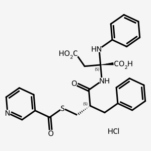 Cl.O=C(O)C[C@@](NC(=O)[C@@H](CSC(=O)c1cccnc1)Cc1ccccc1)(Nc1ccccc1)C(=O)O